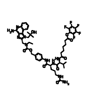 CCN(Cc1nc2c(N)nc3ccccc3c2n1CC(C)(C)O)C(=O)OCc1ccc(NC(=O)[C@H](CCCNC(N)=O)NC(=O)[C@@H](NC(=O)CCCCCC(=O)Oc2c(F)c(F)c(F)c(F)c2F)C(C)C)cc1